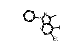 CCc1cnc2c(c(C)nn2-c2ccccc2)c1I